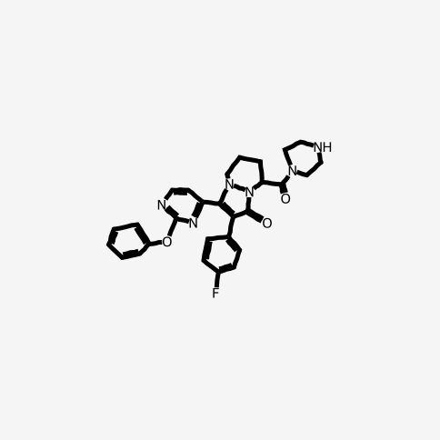 O=C(C1CCCn2c(-c3ccnc(Oc4ccccc4)n3)c(-c3ccc(F)cc3)c(=O)n21)N1CCNCC1